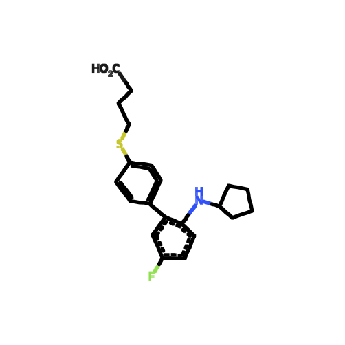 O=C(O)CCCSC1=C=C=C(c2cc(F)ccc2NC2CCCC2)C=C1